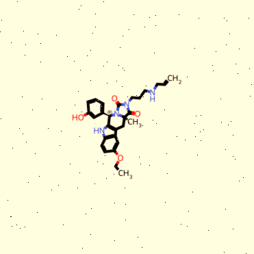 C=CCNCCCN1C(=O)N2[C@H](c3cccc(O)c3)c3[nH]c4ccc(OCC)cc4c3C[C@@]2(C)C1=O